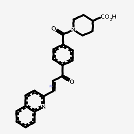 O=C(/C=C/c1ccc2ccccc2n1)c1ccc(C(=O)N2CCC(C(=O)O)CC2)cc1